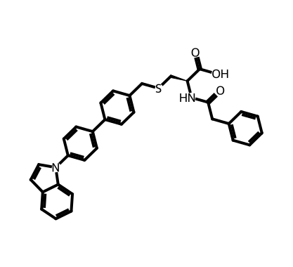 O=C(Cc1ccccc1)N[C@@H](CSCc1ccc(-c2ccc(-n3ccc4ccccc43)cc2)cc1)C(=O)O